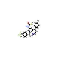 CSC(=O)Nc1cc2c3c(c1)[C@H](c1ccc(C(F)(F)F)cc1)CCN3CC[C@H]2c1ccc(C)cc1